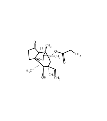 C=C[C@]1(C)C[C@@H](OC(=O)CC)[C@]2(C)C(C)CC[C@]3(CCC(=O)[C@H]32)[C@@H](C)[C@@H]1O